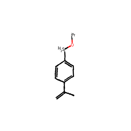 C=C(C)c1ccc([SiH2]OC(C)C)cc1